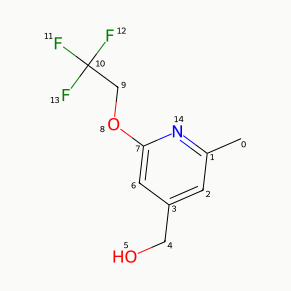 Cc1cc(CO)cc(OCC(F)(F)F)n1